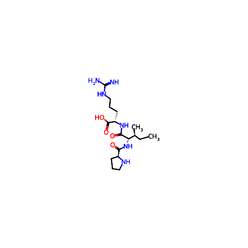 CC[C@H](C)[C@H](NC(=O)[C@@H]1CCCN1)C(=O)N[C@@H](CCCNC(=N)N)C(=O)O